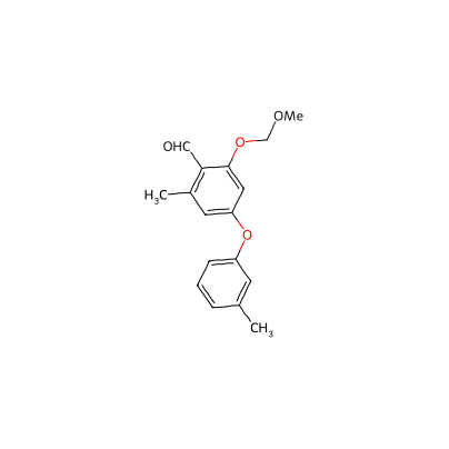 COCOc1cc(Oc2cccc(C)c2)cc(C)c1C=O